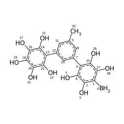 Bc1c(O)c(O)c(-c2cc(C)cc(-c3c(O)c(O)c(O)c(O)c3O)c2)c(O)c1O